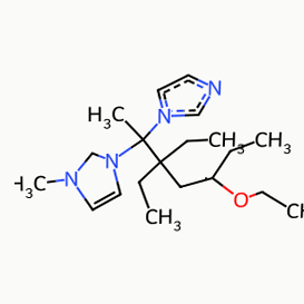 CCO[C](CC)CC(CC)(CC)C(C)(N1C=CN(C)C1)n1ccnc1